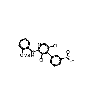 CC[S+]([O-])c1cccc(-c2c(Cl)cnc(Nc3ccccc3OC)c2Cl)c1